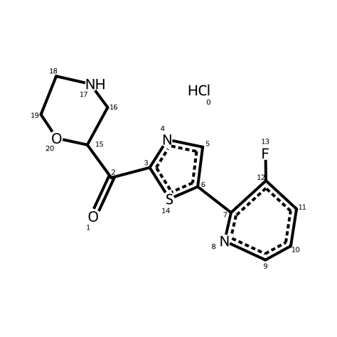 Cl.O=C(c1ncc(-c2ncccc2F)s1)C1CNCCO1